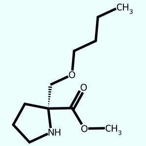 CCCCOC[C@@]1(C(=O)OC)CCCN1